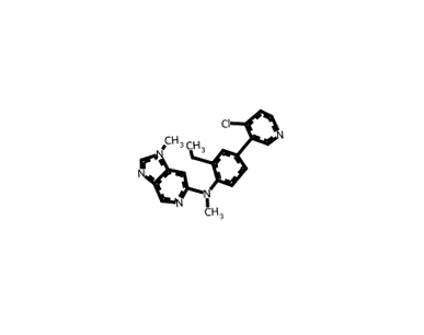 CCc1cc(-c2cnccc2Cl)ccc1N(C)c1cc2c(cn1)ncn2C